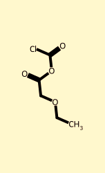 CCOCC(=O)OC(=O)Cl